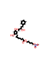 O=C(CCC/C=C\C[C@@H]1[C@@H](CC[C@@H](O)CCc2ccccc2)[C@H](O)C[C@@H]1O)OCCCCCO[N+](=O)[O-]